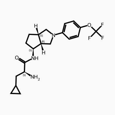 N[C@@H](CC1CC1)C(=O)N[C@H]1CC[C@@H]2CN(c3ccc(OC(F)(F)F)cc3)C[C@@H]21